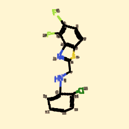 Fc1ccc2sc(CNc3ccccc3Cl)nc2c1F